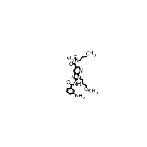 CCCCN(C)C(=O)c1cnc2c(c1)nc(NC(=O)c1cccc(N)c1)n2CCCOC